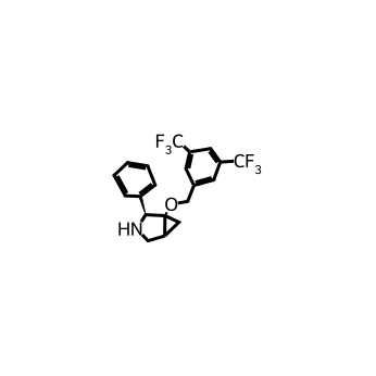 FC(F)(F)c1cc(CO[C@]23CC2CN[C@H]3c2ccccc2)cc(C(F)(F)F)c1